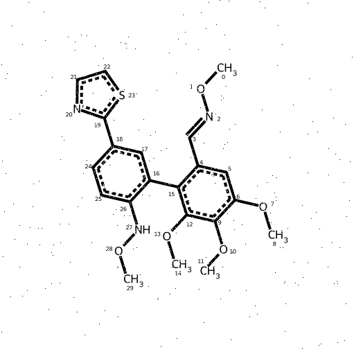 CON=Cc1cc(OC)c(OC)c(OC)c1-c1cc(-c2nccs2)ccc1NOC